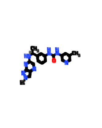 CCn1cc2ncc(N[C@@H](C)c3cccc(NC(=O)Nc4cncc(C)c4)c3)nc2n1